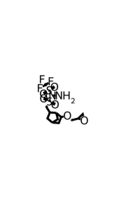 NN(S(=O)(=O)CC1CC2CC(OCC3CO3)C1C2)S(=O)(=O)C(F)(F)F